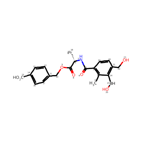 Cc1c(C(=O)N[C@H](C(=O)OCc2ccc(C(=O)O)cc2)C(C)C)ccc(CO)c1BO